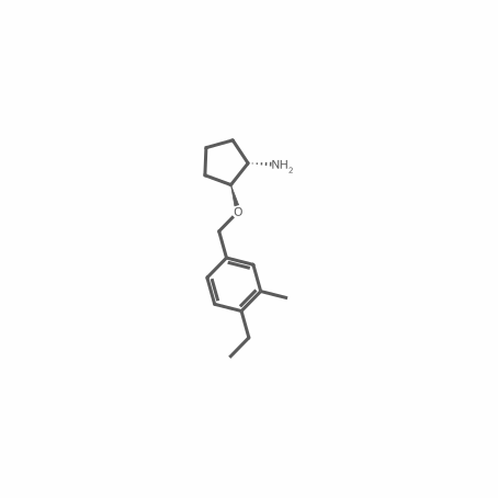 CCc1ccc(CO[C@H]2CCC[C@@H]2N)cc1C